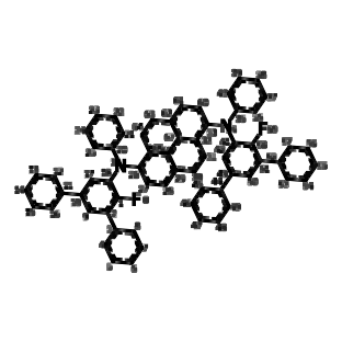 Fc1c(-c2ccccc2)cc(-c2ccccc2)cc1N(c1ccccc1)c1ccc2ccc3c(N(c4ccccc4)c4cc(-c5ccccc5)cc(-c5ccccc5)c4F)ccc4ccc1c2c43